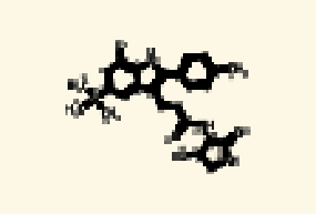 Cc1ccc(-c2[nH]c3c(F)cc([Si](C)(C)C)cc3c2CCC(=O)N[C@@H]2C(=O)NC[C@H]2O)cc1